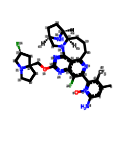 Cc1cc(N)[n+]([O-])c(-c2nc3c4c(nc(OC[C@@]56CCCN5C[C@H](F)C6)nc4c2F)N2C[C@H]4CC[C@H](N4)[C@H]2CCC3)c1C(F)(F)F